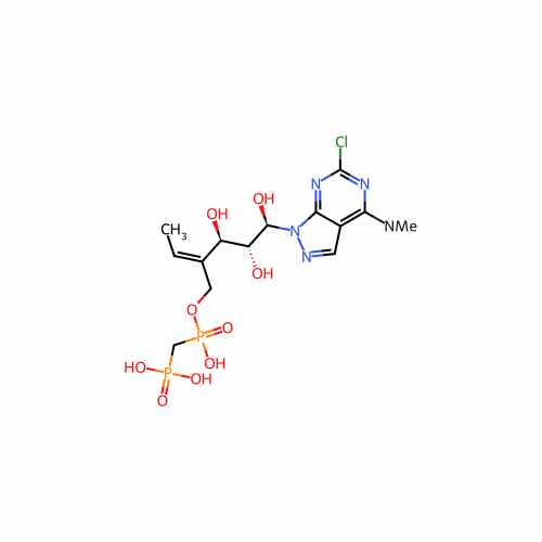 C/C=C(/COP(=O)(O)CP(=O)(O)O)[C@@H](O)[C@@H](O)[C@@H](O)n1ncc2c(NC)nc(Cl)nc21